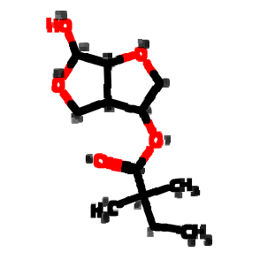 CCC(C)(C)C(=O)OC1COC2C(O)OCC12